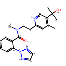 CCN(CCc1cc(C)c(C(C)(C)O)cn1)C(=O)c1ccccc1-n1nccn1